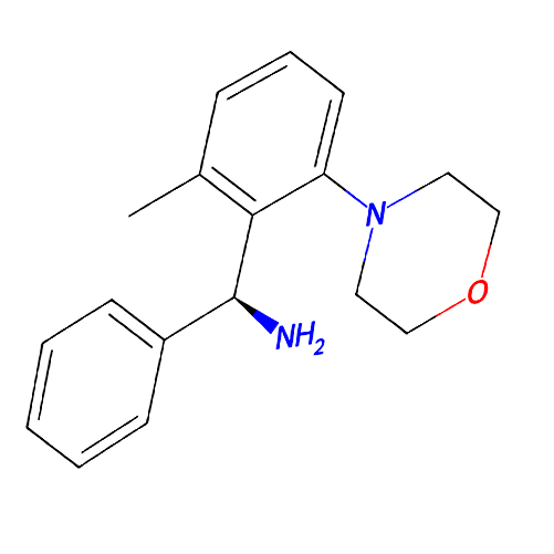 Cc1cccc(N2CCOCC2)c1[C@@H](N)c1ccccc1